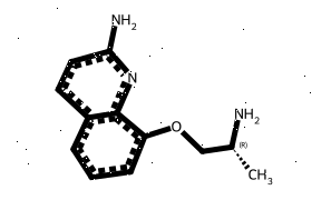 C[C@@H](N)COc1cccc2ccc(N)nc12